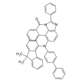 CC1(C)c2ccccc2-c2c(N(c3ccc(-c4ccccc4)cc3)c3ccc4nc(-c5ccccc5)n5c(=O)c6ccccc6c3c45)cccc21